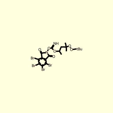 CC(CC(C)(C)OOC(C)(C)C)OC(=N)ON1C(=O)c2c(Br)c(Br)c(Br)c(Br)c2C1=O